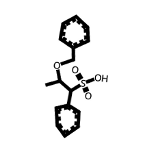 CC(OCc1ccccc1)C(c1ccccc1)S(=O)(=O)O